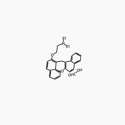 CCN(CC)CCOc1ccc2ccccc2c1Cc1c(O)ccc2ccccc12.O=CO